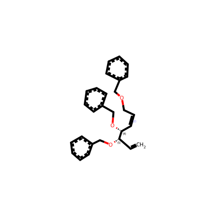 C=C[C@H](OCc1ccccc1)[C@@H](/C=C\COCc1ccccc1)OCc1ccccc1